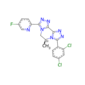 C[C@H]1Cn2c(-c3ccc(F)cn3)nnc2-c2nnc(-c3ccc(Cl)cc3Cl)n21